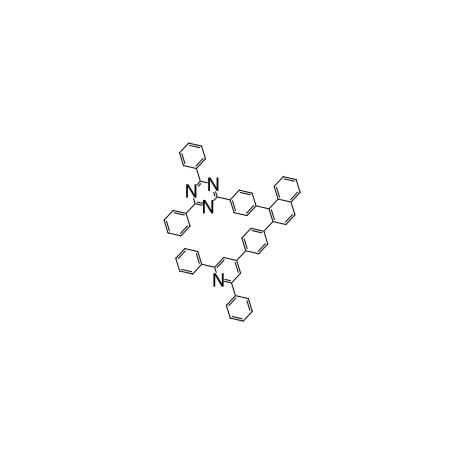 c1ccc(-c2cc(-c3ccc(-c4ccc5ccccc5c4-c4ccc(-c5nc(-c6ccccc6)nc(-c6ccccc6)n5)cc4)cc3)cc(-c3ccccc3)n2)cc1